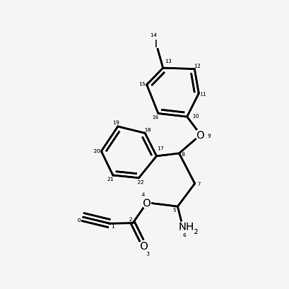 C#CC(=O)OC(N)CC(Oc1ccc(I)cc1)c1ccccc1